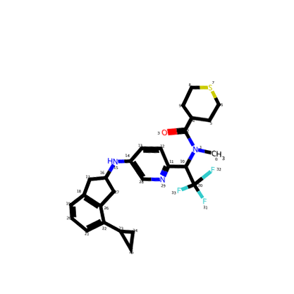 CN(C(=O)C1CCSCC1)C(c1ccc(NC2Cc3cccc(C4CC4)c3C2)cn1)C(F)(F)F